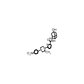 C[C@@H]1CN(c2ccc([N+](=O)[O-])cc2)CCN1c1cccc(C(=O)N[C@H]2C3CC4CC2C[C@](O)(C4)C3)n1